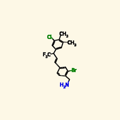 Cc1cc(C(/C=C/c2ccc(CN)c(Br)c2)C(F)(F)F)cc(Cl)c1C